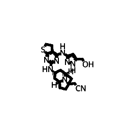 N#CCC12CC[C@@H]3C[C@@H](Nc4nc(Nc5cc(CO)[nH]n5)c5c(n4)SCC5)C[C@H](C1)N32